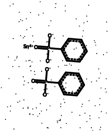 O=P([O-])([O-])c1ccccc1.O=P([O-])([O-])c1ccccc1.[Sn+4]